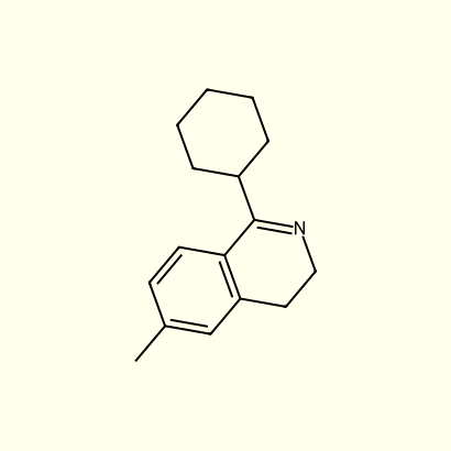 Cc1ccc2c(c1)CCN=C2C1CCCCC1